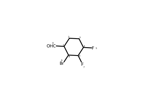 O=CC1CCC(F)C(F)C1Br